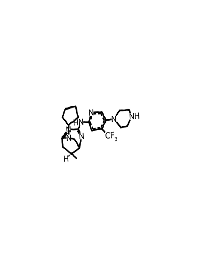 C[C@H]1CC2=NC(Nc3cc(C(F)(F)F)c(N4CCNCC4)cn3)=NC1CN2C1CCCC1